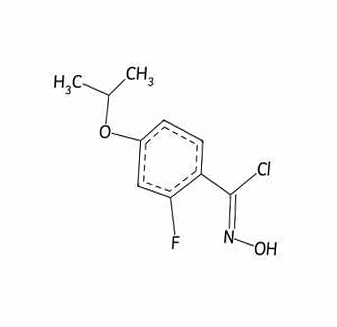 CC(C)Oc1ccc(C(Cl)=NO)c(F)c1